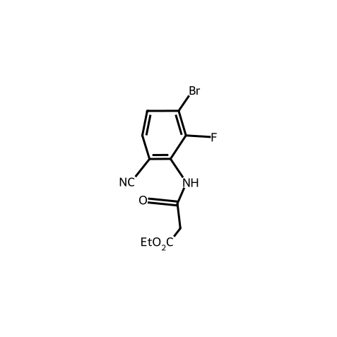 CCOC(=O)CC(=O)Nc1c(C#N)ccc(Br)c1F